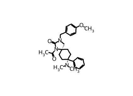 COc1ccc(CN2C[C@]3(CC[C@@](c4ccccc4)(N(C)C)CC3)N(C(C)=O)C2=O)cc1